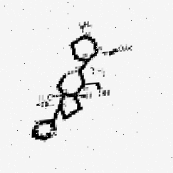 CC(=O)OC[C@H]1C[C@@H](C)CC[C@]1(C)[C@H]1CC[C@@]2(C)[C@@H](CC[C@@]2(O)c2nccs2)[C@@H]1CO